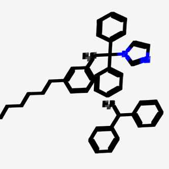 BC(c1ccccc1)c1ccccc1.CCCCCCc1cccc([SiH2]C(c2ccccc2)(c2ccccc2)n2ccnc2)c1